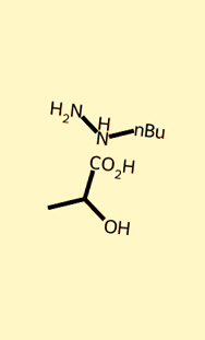 CC(O)C(=O)O.CCCCNN